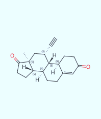 C#C[C@H]1C[C@]2(C)C(=O)CC[C@H]2[C@@H]2CCC3=CC(=O)CC[C@@H]3[C@H]21